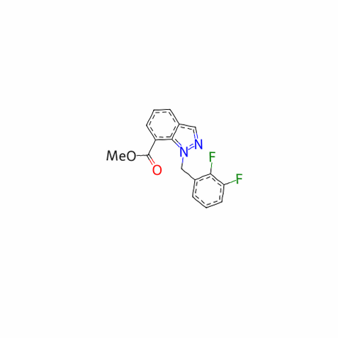 COC(=O)c1cccc2cnn(Cc3cccc(F)c3F)c12